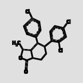 CC1OC(=O)C2CCC(c3ccc(Cl)cc3Cl)C(c3ccc(Cl)cc3)C12